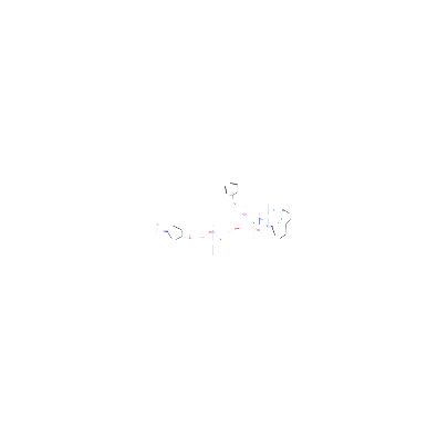 Nc1ccc(COCC(=O)NCCCC[C@H](NC(=O)OCc2ccccc2)C(=O)Nc2cccc3cccnc23)cc1